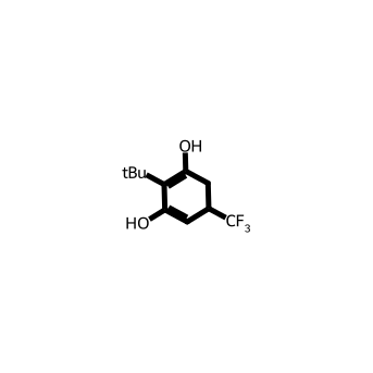 CC(C)(C)C1=C(O)CC(C(F)(F)F)C=C1O